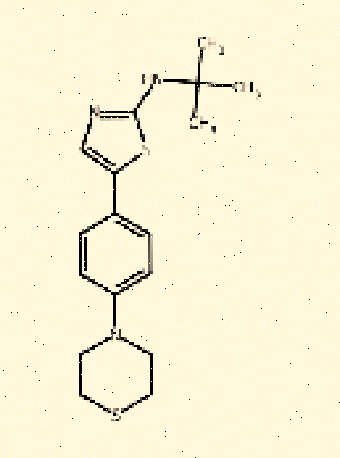 CC(C)(C)Nc1ncc(-c2ccc(N3CCSCC3)cc2)s1